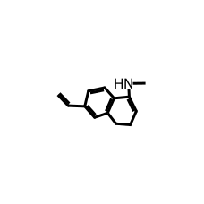 C=Cc1ccc2c(c1)CCC=C2NC